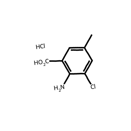 Cc1cc(Cl)c(N)c(C(=O)O)c1.Cl